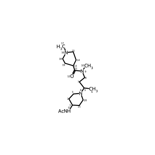 CC(=O)NC1CCN(C(C)CCN(C)C(=O)C2CCN(C)CC2)CC1